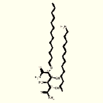 CCCCCCCCCCCCCN.CCCCCCCCCCCCCO[C@@H](C(N)=O)[C@@H](O)[C@H](O)[C@H](O)C(N)=O